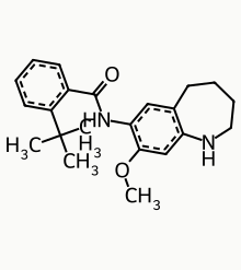 COc1cc2c(cc1NC(=O)c1ccccc1C(C)(C)C)CCCCN2